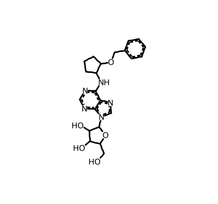 OCC1OC(n2cnc3c(NC4CCCC4OCc4ccccc4)ncnc32)C(O)C1O